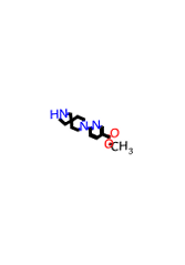 COC(=O)c1ccc(N2CCC3(CCNC3)CC2)nc1